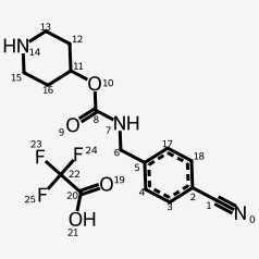 N#Cc1ccc(CNC(=O)OC2CCNCC2)cc1.O=C(O)C(F)(F)F